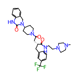 CN1CCN(CCNC(=O)[C@@H](CC(=O)N2CCC(N3Cc4ccccc4NC3=O)CC2)Cc2cccc(C(F)(F)F)c2)CC1